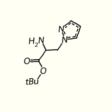 CC(C)(C)OC(=O)C(N)Cn1cccn1